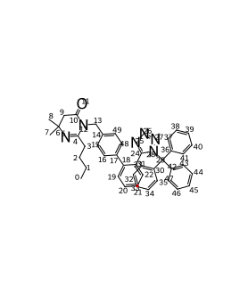 CCCCC1=NC(C)(C)CC(=O)N1Cc1ccc(-c2ccccc2-c2nnnn2C(c2ccccc2)(c2ccccc2)c2ccccc2)cc1